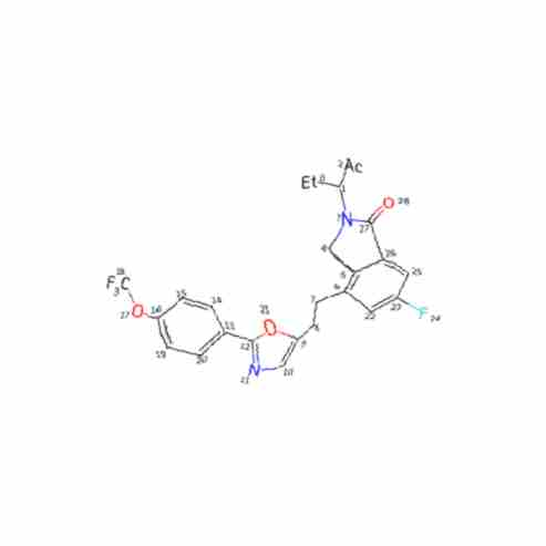 CCC(C(C)=O)N1Cc2c(CCc3cnc(-c4ccc(OC(F)(F)F)cc4)o3)cc(F)cc2C1=O